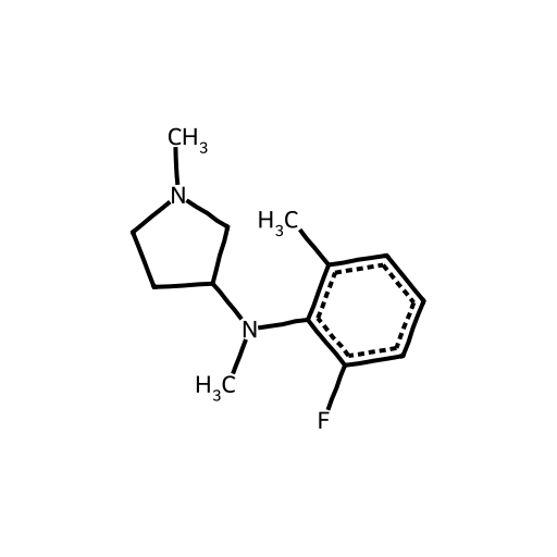 Cc1cccc(F)c1N(C)C1CCN(C)C1